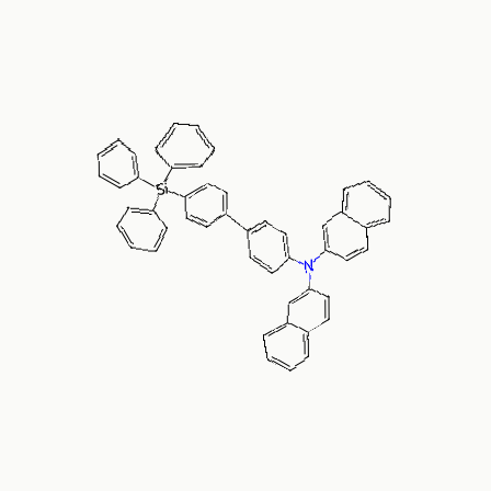 c1ccc([Si](c2ccccc2)(c2ccccc2)c2ccc(-c3ccc(N(c4ccc5ccccc5c4)c4ccc5ccccc5c4)cc3)cc2)cc1